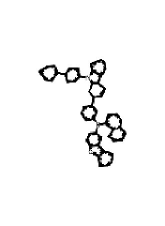 C1=CC(c2cccc(N(c3ccc4oc5ccccc5c4c3)c3cccc4ccccc34)c2)Cc2c1c1ccccc1n2-c1ccc(-c2ccccc2)cc1